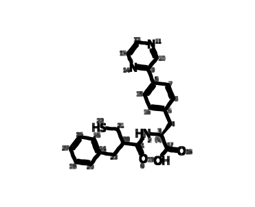 O=C(N[C@@H](Cc1ccc(-c2cnccn2)cc1)C(=O)O)C(CS)Cc1ccccc1